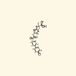 CC(C)(Sc1nc(CNC(=O)c2ccc(-c3ccc(Cl)cc3)cc2)cs1)C(=O)O